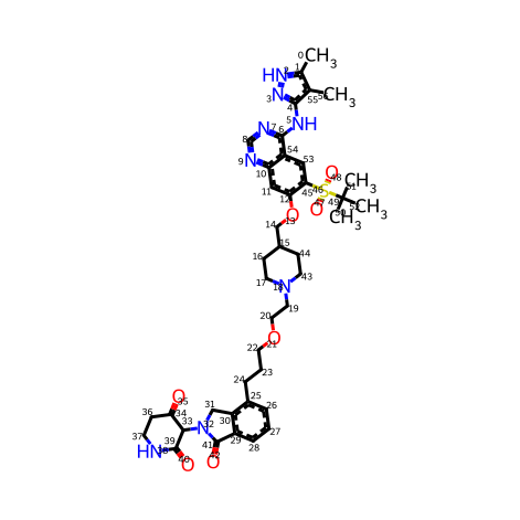 Cc1[nH]nc(Nc2ncnc3cc(OCC4CCN(CCOCCCc5cccc6c5CN(C5C(=O)CCNC5=O)C6=O)CC4)c(S(=O)(=O)C(C)(C)C)cc23)c1C